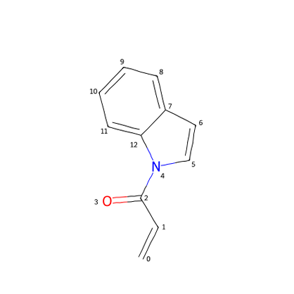 C=CC(=O)n1ccc2ccccc21